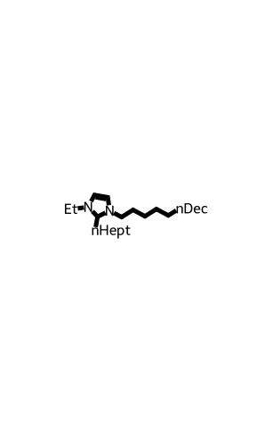 CCCCCCCCCCCCCCCN1C=CN(CC)C1CCCCCCC